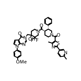 COc1ccc(-n2ccc3c(=O)n(CC4(O)CCN(C(=O)[C@@H]5CCN(C(=O)c6sc(-c7ccc(C)nc7)nc6C)C[C@H]5c5ccccc5)CC4(F)F)cnc32)cc1